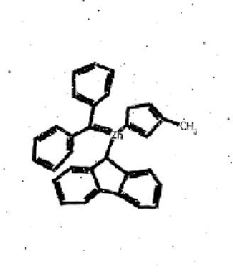 CC1=CC[C]([Zn](=[C](c2ccccc2)c2ccccc2)[CH]2c3ccccc3-c3ccccc32)=C1